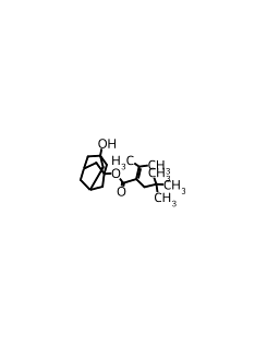 CC(C)=C(CC(C)(C)C)C(=O)OC12CC3CC(CC(O)(C3)C1)C2